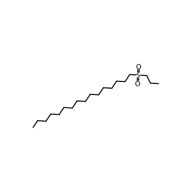 CC[CH]S(=O)(=O)CCCCCCCCCCCCCCCC